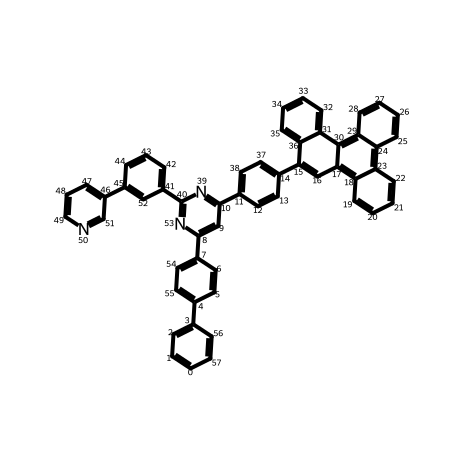 c1ccc(-c2ccc(-c3cc(-c4ccc(-c5cc6c7ccccc7c7ccccc7c6c6ccccc56)cc4)nc(-c4cccc(-c5cccnc5)c4)n3)cc2)cc1